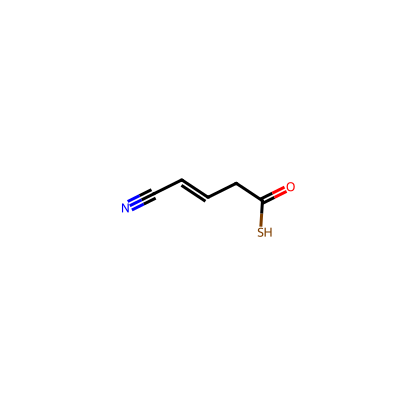 N#CC=CCC(=O)S